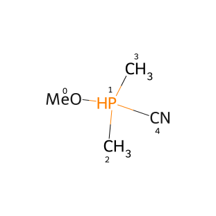 CO[PH](C)(C)C#N